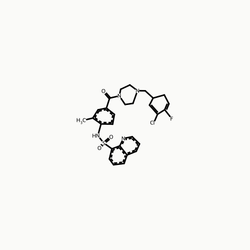 Cc1cc(C(=O)N2CCN(CC3C=C(Cl)C(F)=CC3)CC2)ccc1NS(=O)(=O)c1cccc2cccnc12